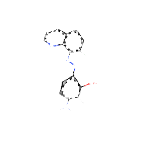 CCN(CC)c1ccc(N=Nc2c(Cl)ccc3cccnc23)c(O)c1C